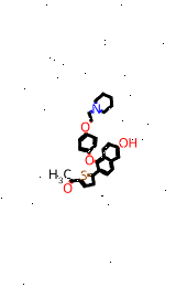 CC(=O)C1=CCC(c2ccc3cc(O)ccc3c2Oc2ccc(OCCN3CCCCC3)cc2)S1